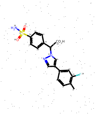 Cc1ccc(-c2cnn(C(C(=O)O)c3ccc(S(N)(=O)=O)cc3)c2)cc1F